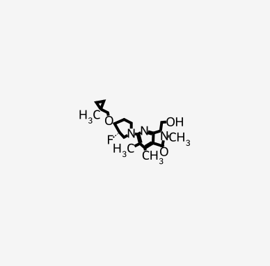 Cc1c(N2CC[C@@H](OCC3(C)CC3)[C@@H](F)C2)nc2c(c1C)C(=O)N(C)C2CO